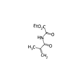 C=C(C)C(=O)NC(=O)C(=O)OCC